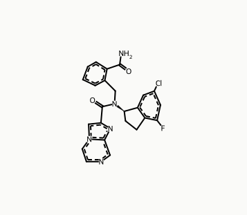 NC(=O)c1ccccc1CN(C(=O)c1cn2ccncc2n1)[C@@H]1CCc2c(F)cc(Cl)cc21